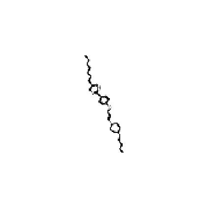 CCCCCCCc1cnc(-c2ccc(OC/C=C/[C@H]3CC[C@H](CCCCC)CC3)cc2)nc1